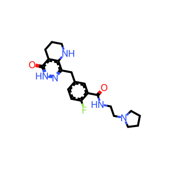 O=C(NCCN1CCCC1)c1cc(Cc2n[nH]c(=O)c3c2NCCC3)ccc1F